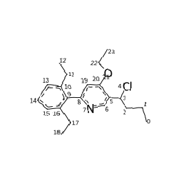 CCCC(Cl)c1cnc(-c2c(CC)cccc2CC)cc1OCC